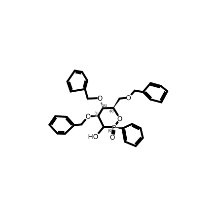 O=[P@@]1(c2ccccc2)O[C@H](COCc2ccccc2)[C@@H](OCc2ccccc2)[C@H](OCc2ccccc2)C1O